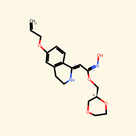 C=CCOc1ccc2c(c1)CCN/C2=C\C(=N/O)OC[C@@H]1COCCO1